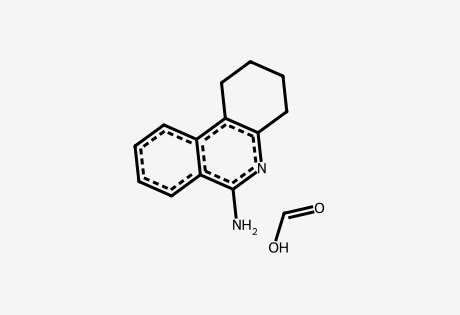 Nc1nc2c(c3ccccc13)CCCC2.O=CO